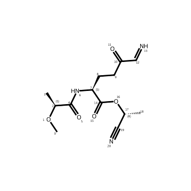 CO[C@@H](C)C(=O)N[C@@H](CCC(=O)C=N)C(=O)O[C@H](C)C#N